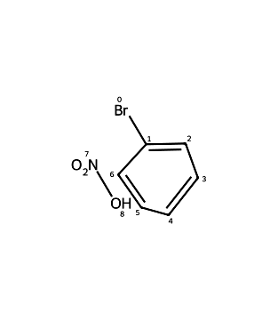 Brc1ccccc1.O=[N+]([O-])O